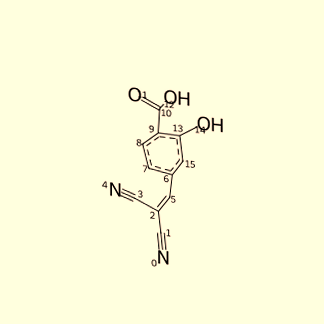 N#CC(C#N)=Cc1ccc(C(=O)O)c(O)c1